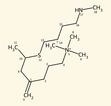 C=C(CCC[N+](C)(C)C)CC(C)SCCCCNC